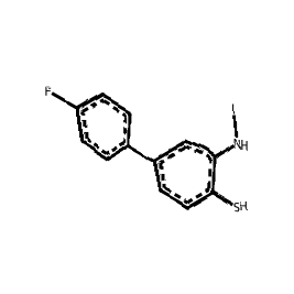 Fc1ccc(-c2ccc(S)c(NI)c2)cc1